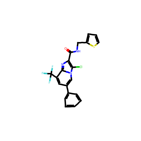 O=C(NCc1cccs1)c1nc2c(C(F)(F)F)cc(-c3ccccc3)cn2c1Cl